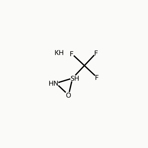 FC(F)(F)[SH]1NO1.[KH]